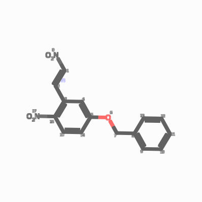 O=[N+]([O-])/C=C/c1cc(OCc2ccccc2)ccc1[N+](=O)[O-]